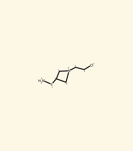 NSC1CN(CCCl)C1